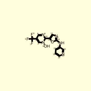 ON1C=C(C(F)(F)F)C=NC1c1cnc(Nc2cccnc2)o1